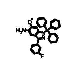 COc1cc2c(cc1N)c(-c1cccc(F)c1)nn2C(c1ccccc1)(c1ccccc1)c1ccccc1